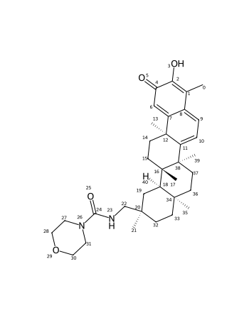 CC1=C(O)C(=O)C=C2C1=CC=C1[C@@]2(C)CC[C@@]2(C)[C@@H]3C[C@](C)(CNC(=O)N4CCOCC4)CC[C@]3(C)CC[C@]12C